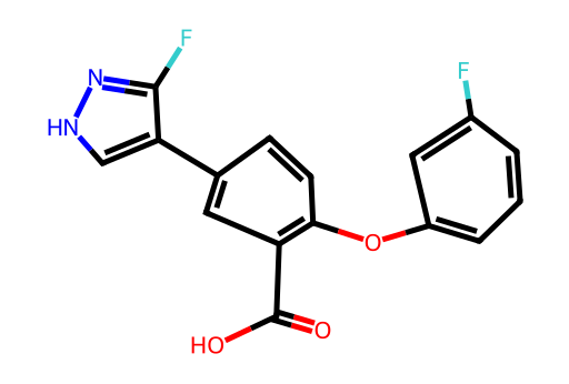 O=C(O)c1cc(-c2c[nH]nc2F)ccc1Oc1cccc(F)c1